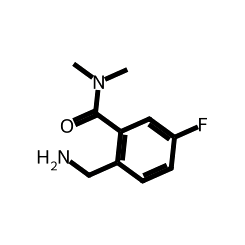 CN(C)C(=O)c1cc(F)ccc1CN